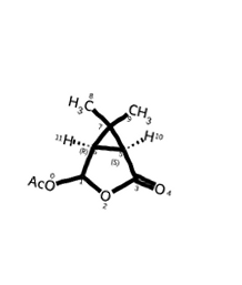 CC(=O)OC1OC(=O)[C@H]2[C@@H]1C2(C)C